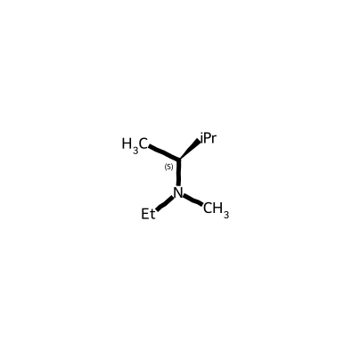 CCN(C)[C@@H](C)C(C)C